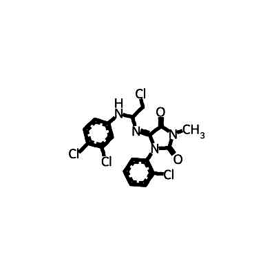 CN1C(=O)C(=NC(CCl)Nc2ccc(Cl)c(Cl)c2)N(c2ccccc2Cl)C1=O